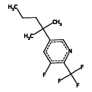 CCCC(C)(C)c1cnc(C(F)(F)F)c(F)c1